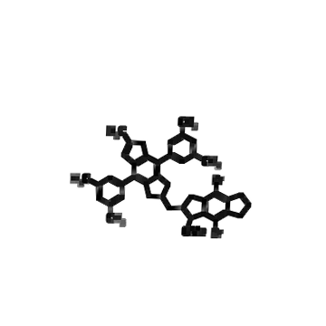 COC1c2c(Br)c3c(c(Br)c2CC1CC1Cc2c(c(-c4cc(C)cc(C)c4)c4c(c2-c2cc(C)cc(C)c2)C=C(C)C4)C1)CCC3